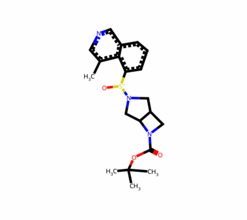 Cc1cncc2cccc([S+]([O-])N3CC4CN(C(=O)OC(C)(C)C)C4C3)c12